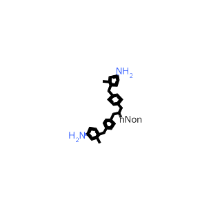 CCCCCCCCCC(Cc1ccc(Cc2ccc(N)cc2C)cc1)Cc1ccc(Cc2ccc(N)cc2C)cc1